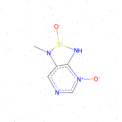 CN1c2cnc[n+]([O-])c2N[S+]1[O-]